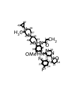 C=CC(=O)Nc1cc(Nc2cc(N3OCC[C@@H]3c3cc(F)cc(F)c3)ncn2)c(OC)cc1N1CCC(N2CCN(C3CC3)[C@@H](C)C2)CC1